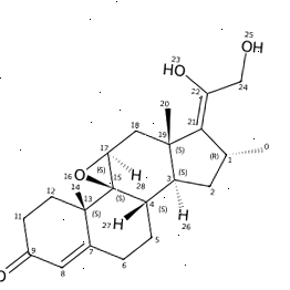 C[C@@H]1C[C@H]2[C@@H]3CCC4=CC(=O)CC[C@]4(C)[C@@]34O[C@H]4C[C@]2(C)C1=C(O)CO